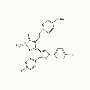 CC(=O)Nc1ccc(CCN2C(=O)[C@H](C)O[C@@H]2c2cn(-c3ccc(Br)cc3)nc2-c2ccc(F)cc2)cc1